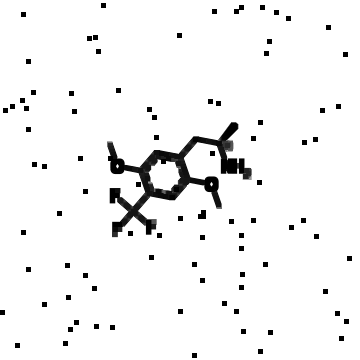 COc1cc(C(F)(F)F)c(OC)cc1C[C@@H](C)N